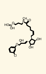 CN(CCCON(O)O)C(=O)CCC/C=C\C[C@@H]1[C@@H](/C=C/[C@@H](O)COc2cccc(Cl)c2)[C@H](O)C[C@@H]1O